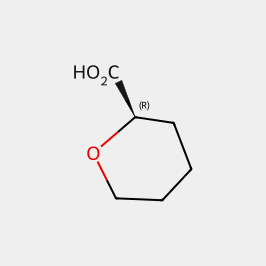 O=C(O)[C@H]1CCCCO1